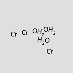 O.O.O.[Cr].[Cr].[Cr]